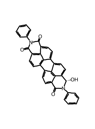 O=C1c2ccc3c4ccc5c6c(ccc(c7ccc(c2c37)C(=O)N1c1ccccc1)c64)[C@H](O)N(c1ccccc1)C5=O